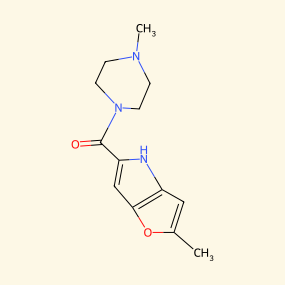 Cc1cc2[nH]c(C(=O)N3CCN(C)CC3)cc2o1